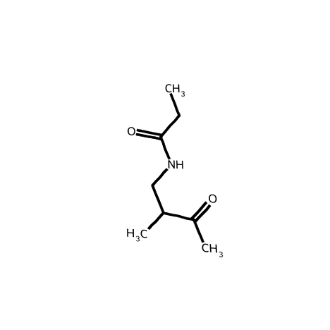 CCC(=O)NCC(C)C(C)=O